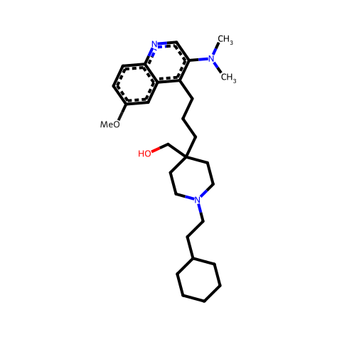 COc1ccc2ncc(N(C)C)c(CCCC3(CO)CCN(CCC4CCCCC4)CC3)c2c1